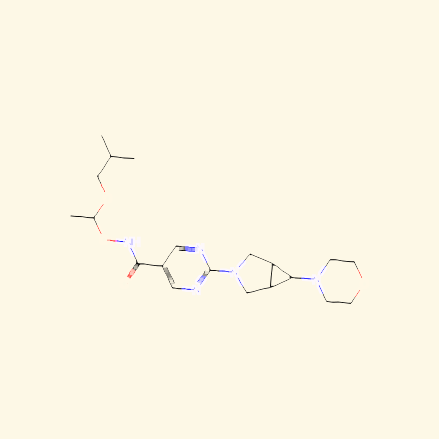 CC(C)COC(C)ONC(=O)c1cnc(N2CC3C(C2)C3N2CCOCC2)nc1